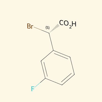 O=C(O)[C@@H](Br)c1cccc(F)c1